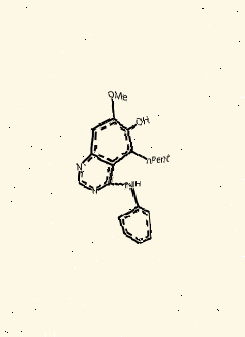 CCCCCc1c(O)c(OC)cc2ncnc(Nc3ccccc3)c12